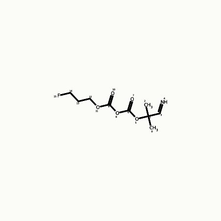 CC(C)(C=N)OC(=O)OC(=O)OCCCF